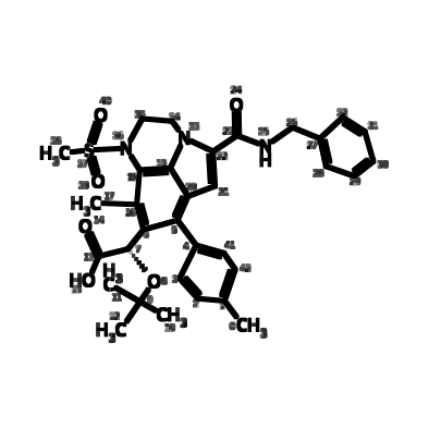 Cc1ccc(-c2c([C@H](OC(C)(C)C)C(=O)O)c(C)c3c4c2cc(C(=O)NCc2ccccc2)n4CCN3S(C)(=O)=O)cc1